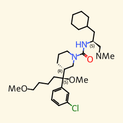 CNC[C@H](CC1CCCCC1)NC(=O)N1CCC[C@@H]([C@](CCCCOC)(OC)c2cccc(Cl)c2)C1